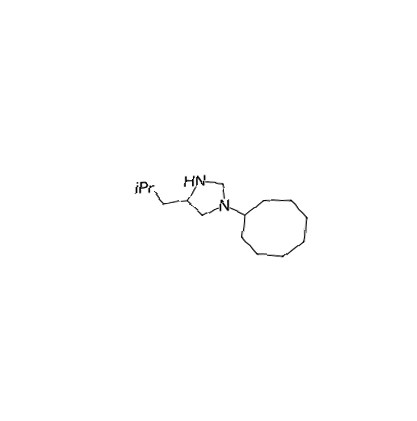 CC(C)CC1CN(C2CCCCCCC2)CN1